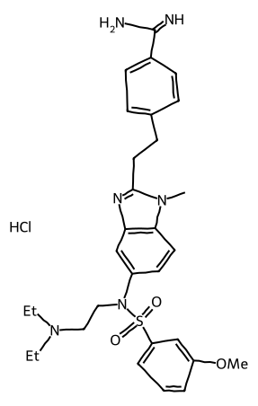 CCN(CC)CCN(c1ccc2c(c1)nc(CCc1ccc(C(=N)N)cc1)n2C)S(=O)(=O)c1cccc(OC)c1.Cl